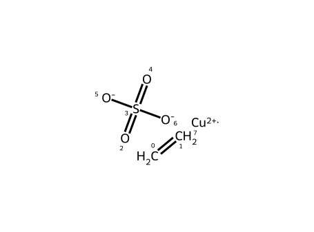 C=C.O=S(=O)([O-])[O-].[Cu+2]